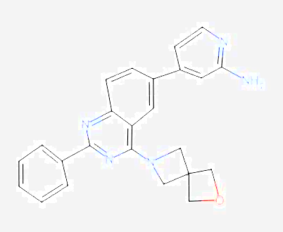 Nc1cc(-c2ccc3nc(-c4ccccc4)nc(N4CC5(COC5)C4)c3c2)ccn1